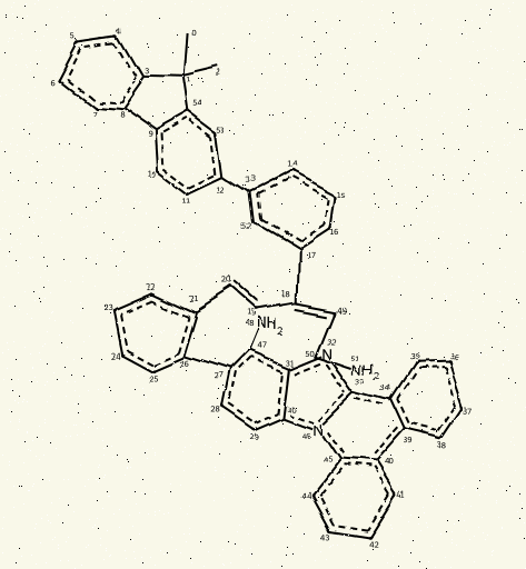 CC1(C)c2ccccc2-c2ccc(-c3cccc(/C(C=Cc4ccccc4-c4ccc5c(nc6c7ccccc7c7ccccc7n56)c4N)=C/CN)c3)cc21